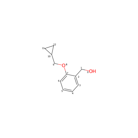 OCc1ccccc1OCC1CC1